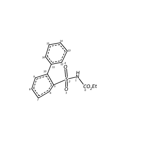 CCOC(=O)NS(=O)(=O)c1ccccc1-c1ccccc1